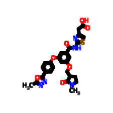 Cc1nnc(-c2ccc(Oc3cc(OCC4CCN(C)C4=O)cc(C(=O)Nc4nc(CC(=O)O)cs4)c3)cc2)o1